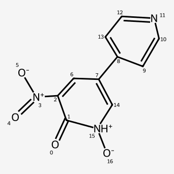 O=C1C([N+](=O)[O-])=CC(c2ccncc2)=C[NH+]1[O-]